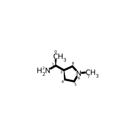 C[C@H](N)[C@@H]1CCN(C)C1